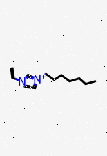 C=Cn1cc[n+](CCCCCCC)c1